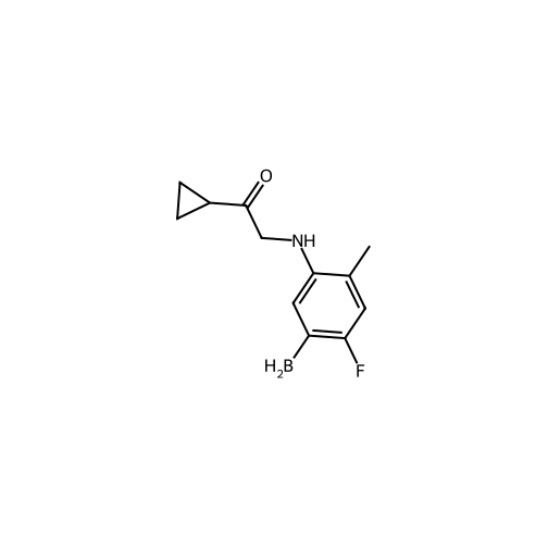 Bc1cc(NCC(=O)C2CC2)c(C)cc1F